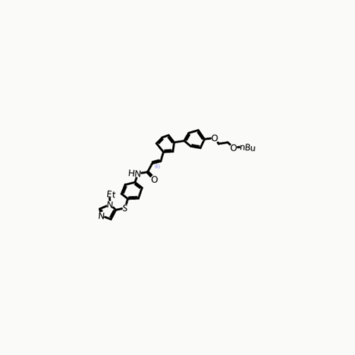 CCCCOCCOc1ccc(-c2cccc(/C=C/C(=O)Nc3ccc(Sc4cncn4CC)cc3)c2)cc1